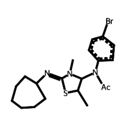 CC(=O)N(c1ccc(Br)cc1)C1C(C)SC(=NC2CCCCCC2)N1C